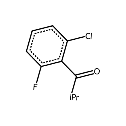 CC(C)C(=O)c1c(F)cccc1Cl